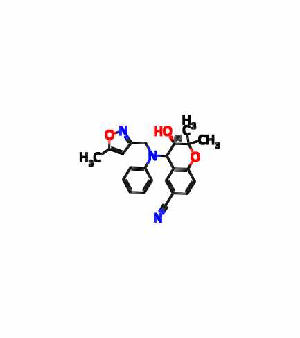 Cc1cc(CN(c2ccccc2)C2c3cc(C#N)ccc3OC(C)(C)[C@@H]2O)no1